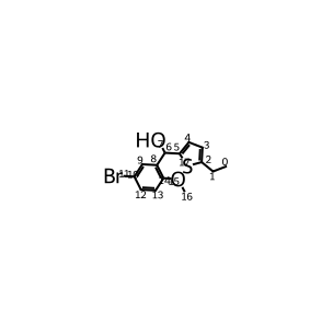 CCc1ccc(C(O)c2cc(Br)ccc2OC)s1